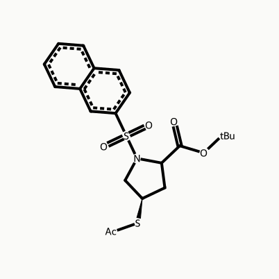 CC(=O)S[C@@H]1CC(C(=O)OC(C)(C)C)N(S(=O)(=O)c2ccc3ccccc3c2)C1